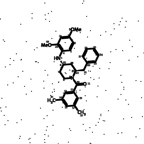 COc1ccc(N[C@H]2CCN(C(=O)c3cc(C)cc(C)c3)[C@H](Cc3ccccc3)C2)c(OC)c1